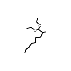 CCCCCCCC(C)C(OCC)OCC